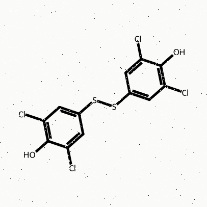 Oc1c(Cl)cc(SSc2cc(Cl)c(O)c(Cl)c2)cc1Cl